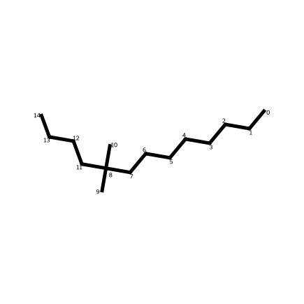 CCCCCCCCC(C)(C)CCCC